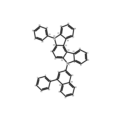 c1ccc(-c2cc(-n3c4ccccc4c4c5c6ccccc6n(-c6ccccc6)c5ccc43)cc3ccccc23)cc1